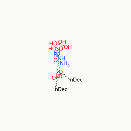 CCCCCCCCCCCCCCC(=O)OCC(CSCC(N)C(=O)Nc1cn(C2OC(CO)C(O)C(O)C2O)nn1)OC(=O)CCCCCCCCCCCCCC